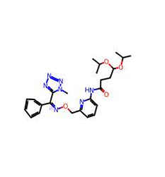 CC(C)OC(CCC(=O)Nc1cccc(CO/N=C(/c2ccccc2)c2nnnn2C)n1)OC(C)C